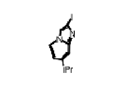 CC(C)c1ccn2cc(I)nc2c1